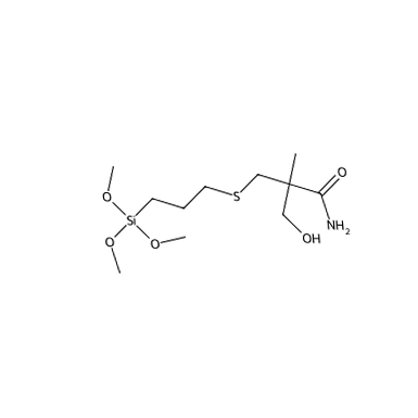 CO[Si](CCCSCC(C)(CO)C(N)=O)(OC)OC